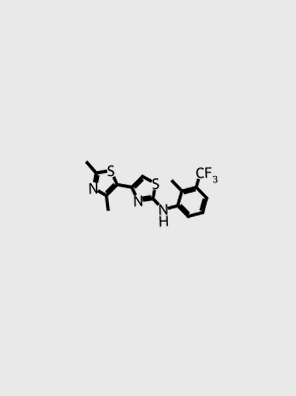 Cc1nc(C)c(-c2csc(Nc3cccc(C(F)(F)F)c3C)n2)s1